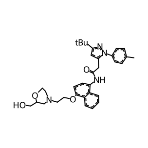 Cc1ccc(-n2nc(C(C)(C)C)cc2CC(=O)Nc2ccc(OCCN3CCOC(CO)C3)c3ccccc23)cc1